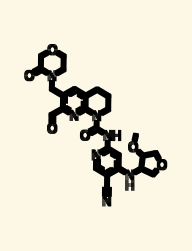 COC1COCC1Nc1cc(NC(=O)N2CCCc3cc(CN4CCOCC4=O)c(C=O)nc32)ncc1C#N